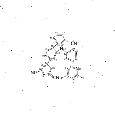 Cc1nc(C)nc(-c2ccc(C#N)c(-n3c4ccccc4c4ccc(-c5cc(C#N)cc(C#N)c5)cc43)c2)n1